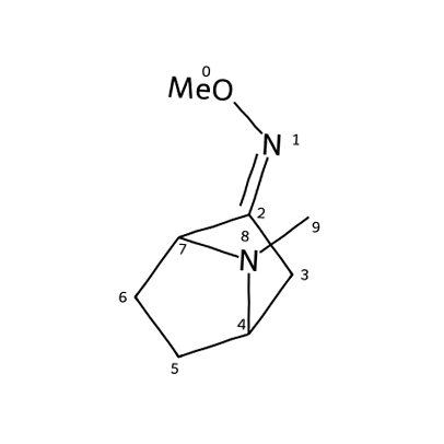 CO/N=C1/CC2CCC1N2C